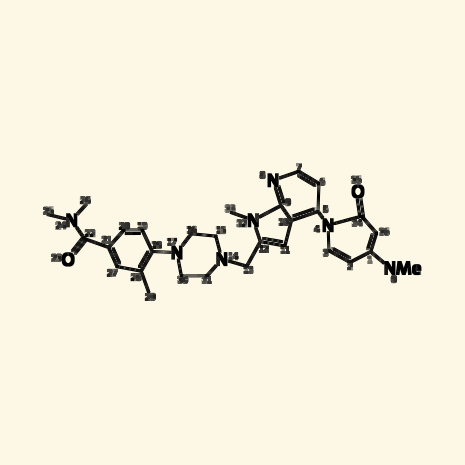 CNc1ccn(-c2ccnc3c2cc(CN2CCN(c4ccc(C(=O)N(C)C)cc4C)CC2)n3C)c(=O)c1